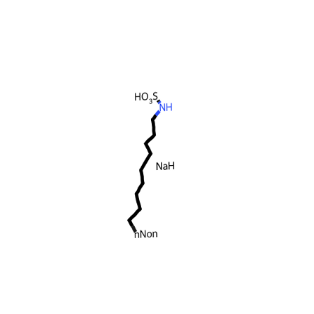 CCCCCCCCCCCCCCCCCCNS(=O)(=O)O.[NaH]